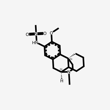 COc1cc2c(cc1NS(C)(=O)=O)C[C@H]1C3CCCC[C@@]23CCN1C